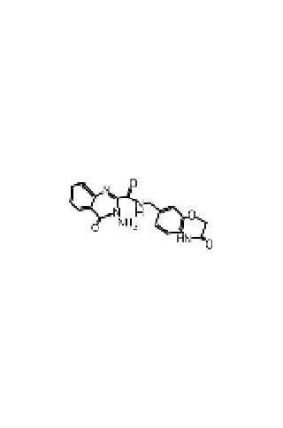 Nn1c(C(=O)NCc2ccc3c(c2)OCC(=O)N3)nc2ccccc2c1=O